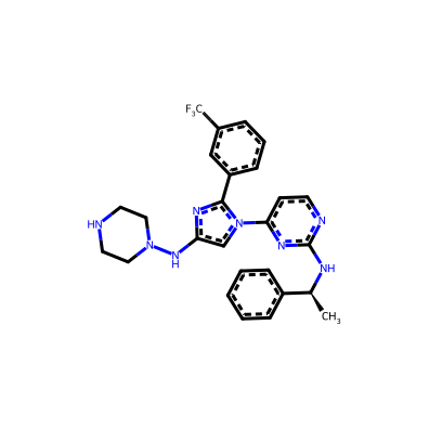 C[C@H](Nc1nccc(-n2cc(NN3CCNCC3)nc2-c2cccc(C(F)(F)F)c2)n1)c1ccccc1